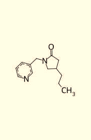 CCCC1CC(=O)N(Cc2cccnc2)C1